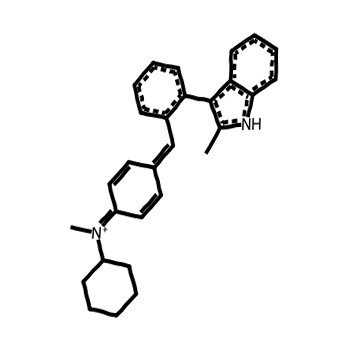 Cc1[nH]c2ccccc2c1-c1ccccc1C=C1C=CC(=[N+](C)C2CCCCC2)C=C1